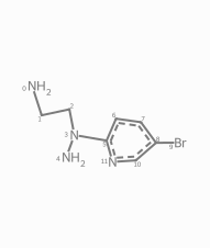 NCCN(N)c1ccc(Br)cn1